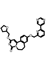 O=c1nc(OCC2CCCO2)cc2n1CCCc1cc(OCc3cccc(-c4cncnc4)n3)ccc1-2